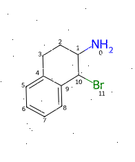 NC1CCc2ccccc2C1Br